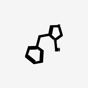 SN1CSC=C1Cc1ccccc1